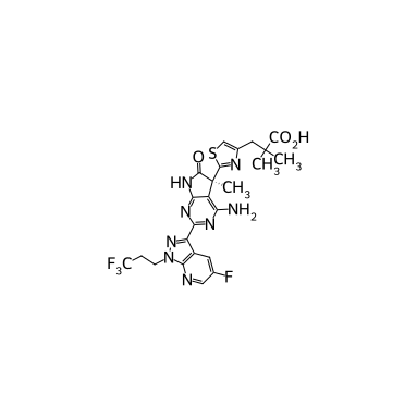 CC(C)(Cc1csc([C@]2(C)C(=O)Nc3nc(-c4nn(CCC(F)(F)F)c5ncc(F)cc45)nc(N)c32)n1)C(=O)O